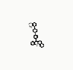 C1=Nc2c(cccc2-c2ccc(-c3ccc(-c4c5ccccc5nc5c4ccc4ccccc45)cc3)cc2)CC1